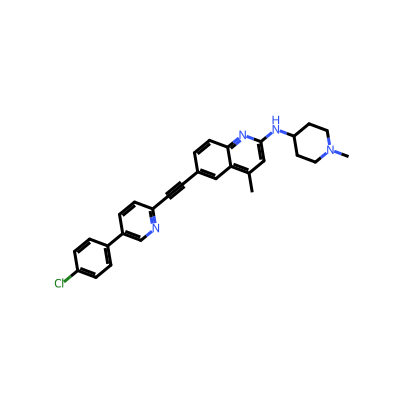 Cc1cc(NC2CCN(C)CC2)nc2ccc(C#Cc3ccc(-c4ccc(Cl)cc4)cn3)cc12